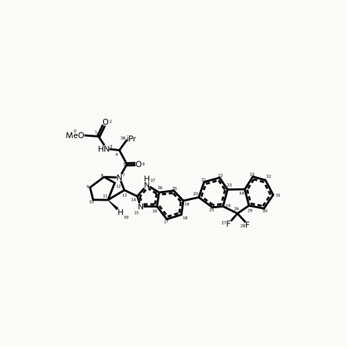 COC(=O)NC(C(=O)N1C2CC[C@H](C2)C1c1nc2ccc(-c3ccc4c(c3)C(F)(F)c3ccccc3-4)cc2[nH]1)C(C)C